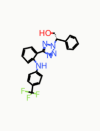 OC[C@H](c1ccccc1)n1nnc(-c2ccccc2Nc2ccc(C(F)(F)F)cc2)n1